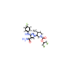 N#CC1CCN(C(=O)OC(CF)CF)C[C@H]1n1cc(C(N)=O)c(Nc2ccc(F)cc2)n1